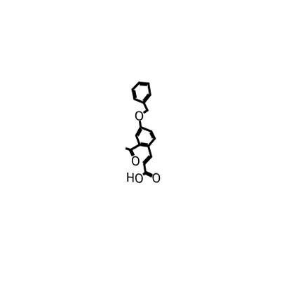 CC(=O)c1cc(OCc2ccccc2)ccc1/C=C/C(=O)O